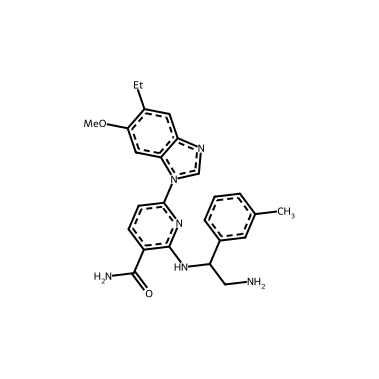 CCc1cc2ncn(-c3ccc(C(N)=O)c(NC(CN)c4cccc(C)c4)n3)c2cc1OC